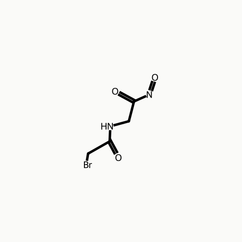 O=NC(=O)CNC(=O)CBr